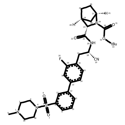 CN1CCN(S(=O)(=O)c2cccc(-c3ccc(C[C@@H](C#N)NC(=O)[C@@H]4[C@H]5CC[C@H](C5)N4C(=O)OC(C)(C)C)c(F)c3)c2)CC1